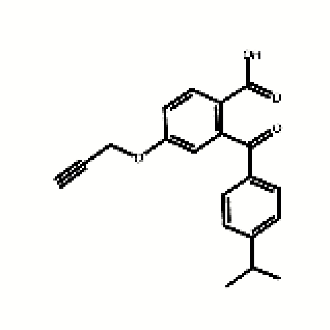 C#CCOc1ccc(C(=O)O)c(C(=O)c2ccc(C(C)C)cc2)c1